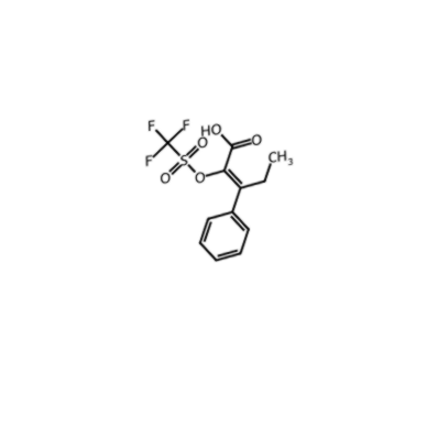 CCC(=C(OS(=O)(=O)C(F)(F)F)C(=O)O)c1ccccc1